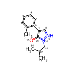 Cc1ccccc1-c1c[nH]n(CC(C)C)c1=O